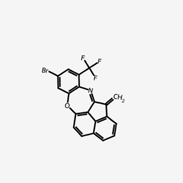 C=C1C2=Nc3c(cc(Br)cc3C(F)(F)F)Oc3ccc4cccc1c4c32